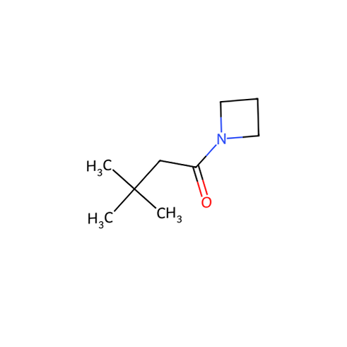 CC(C)(C)CC(=O)N1CCC1